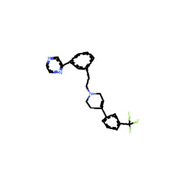 FC(F)(F)c1cccc(C2=CCN(CCc3cccc(-c4cnccn4)c3)CC2)c1